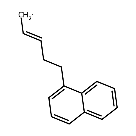 [CH2]/C=C/CCc1cccc2ccccc12